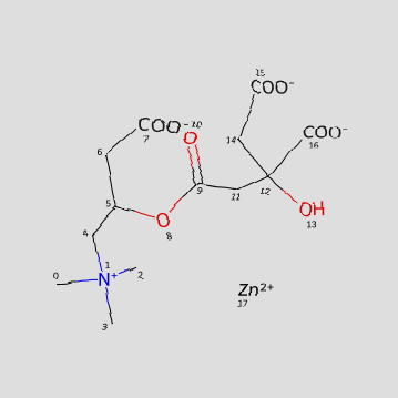 C[N+](C)(C)CC(CC(=O)[O-])OC(=O)CC(O)(CC(=O)[O-])C(=O)[O-].[Zn+2]